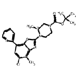 Cc1c(Cl)cc(-c2ccccn2)c2oc(N3CCN(C(=O)OC(C)(C)C)C[C@@H]3C)nc12